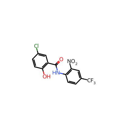 O=C(Nc1ccc(C(F)(F)F)cc1[N+](=O)[O-])c1cc(Cl)ccc1O